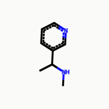 CNC(C)c1cccnc1